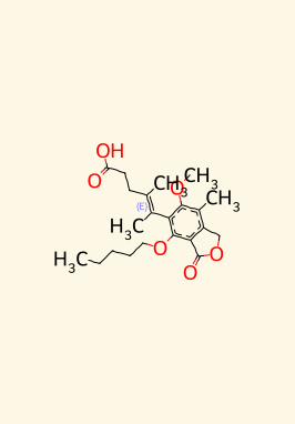 CCCCCOc1c2c(c(C)c(OC)c1/C(C)=C(\C)CCC(=O)O)COC2=O